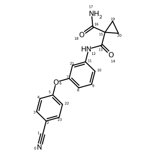 N#Cc1ccc(Oc2cccc(NC(=O)C3(C(N)=O)CC3)c2)cc1